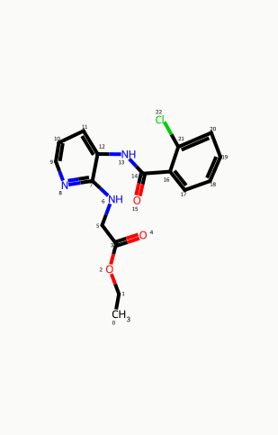 CCOC(=O)CNc1ncccc1NC(=O)c1ccccc1Cl